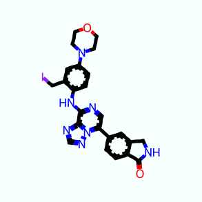 O=C1NCc2cc(-c3cnc(Nc4ccc(N5CCOCC5)cc4CI)c4ncnn34)ccc21